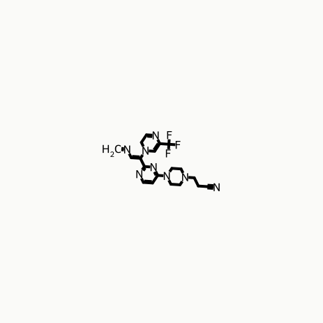 C=N/C=C(/c1nccc(N2CCN(CCC#N)CC2)n1)N1C=C(C(F)(F)F)N=CC1